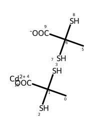 CC(S)(S)C(=O)[O-].CC(S)(S)C(=O)[O-].[Cd+2]